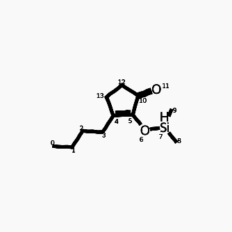 CCCCC1=C(O[SiH](C)C)C(=O)CC1